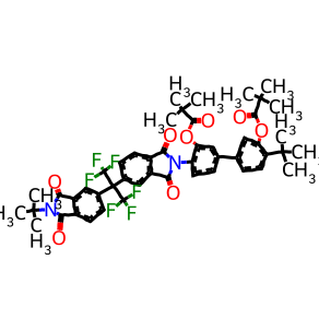 CC(C)(C)C(=O)Oc1cc(-c2ccc(C(C)(C)C)c(OC(=O)C(C)(C)C)c2)ccc1N1C(=O)c2ccc(C(c3ccc4c(c3)C(=O)N(C(C)(C)C)C4=O)(C(F)(F)F)C(F)(F)F)cc2C1=O